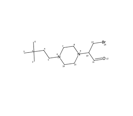 CC(C)(C)CCN1CCN(C(C=O)CBr)CC1